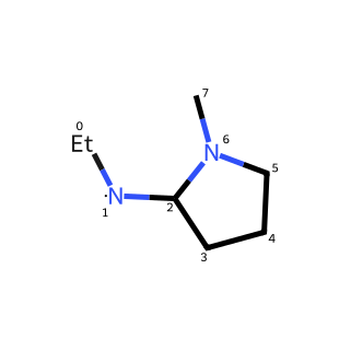 CC[N]C1CCCN1C